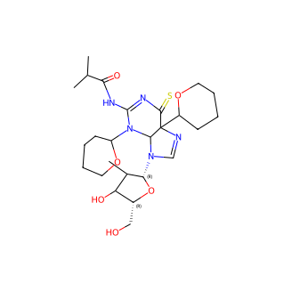 CC(C)C(=O)NC1=NC(=S)C2(C3CCCCO3)N=CN([C@@H]3O[C@H](CO)C(O)C3C)C2N1C1CCCCO1